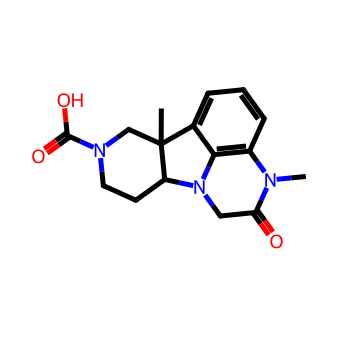 CN1C(=O)CN2c3c1cccc3C1(C)CN(C(=O)O)CCC21